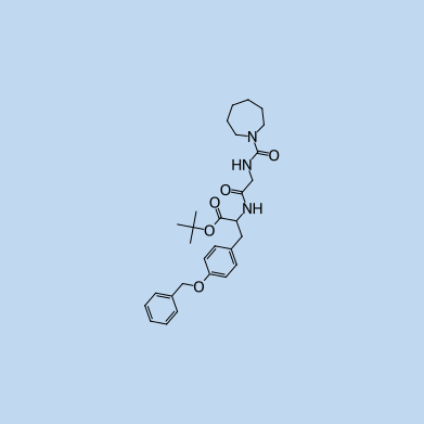 CC(C)(C)OC(=O)C(Cc1ccc(OCc2ccccc2)cc1)NC(=O)CNC(=O)N1CCCCCC1